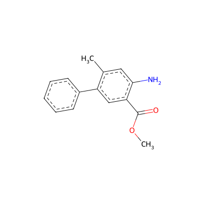 COC(=O)c1cc(-c2ccccc2)c(C)cc1N